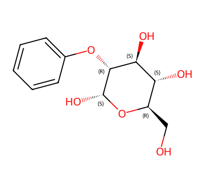 OC[C@H]1O[C@H](O)[C@H](Oc2ccccc2)[C@@H](O)[C@@H]1O